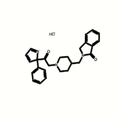 Cl.O=C1c2ccccc2CN1CC1CCN(CC(=O)C2(c3ccccc3)C=CC=N2)CC1